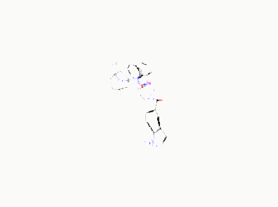 Cc1nc2ccccc2n1C1C[C@H]2CC[C@@H](C1)N2CCC1(c2ccccc2)CCN(C(=O)c2ccc3[nH]ccc3c2)CC1